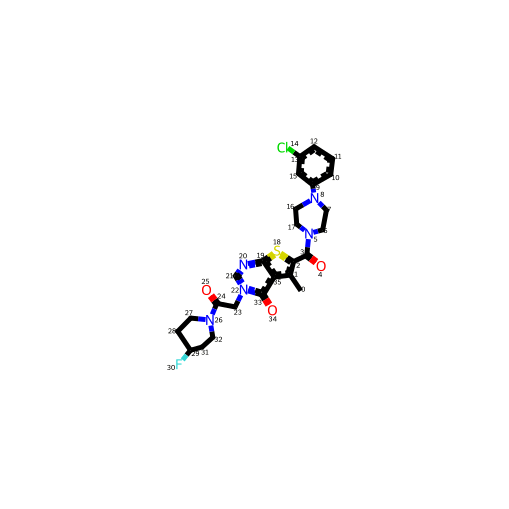 Cc1c(C(=O)N2CCN(c3cccc(Cl)c3)CC2)sc2ncn(CC(=O)N3CCC(F)CC3)c(=O)c12